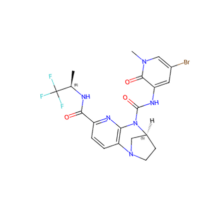 C[C@@H](NC(=O)c1ccc2c(n1)N(C(=O)Nc1cc(Br)cn(C)c1=O)[C@H]1CCN2C1)C(F)(F)F